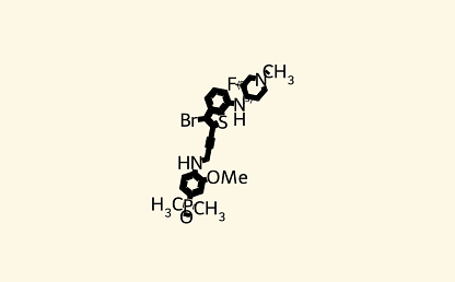 COc1cc(P(C)(C)=O)ccc1NCC#Cc1sc2c(N[C@H]3CCN(C)C[C@H]3F)cccc2c1Br